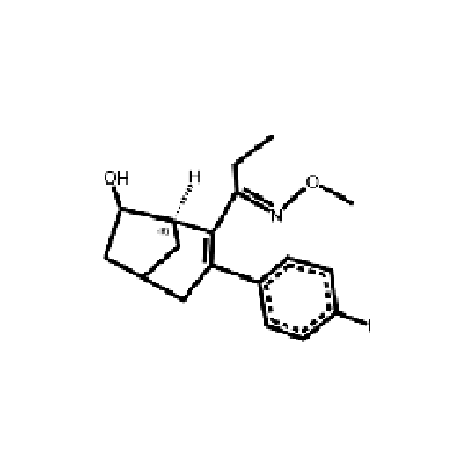 CCC(=NOC)C1=C(c2ccc(I)cc2)CC2CC(O)[C@@H]1C2